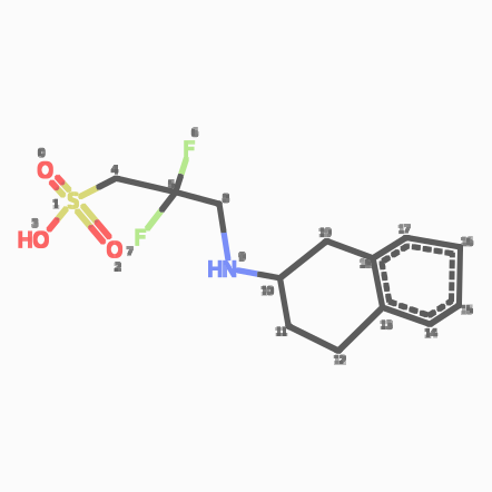 O=S(=O)(O)CC(F)(F)CNC1CCc2ccccc2C1